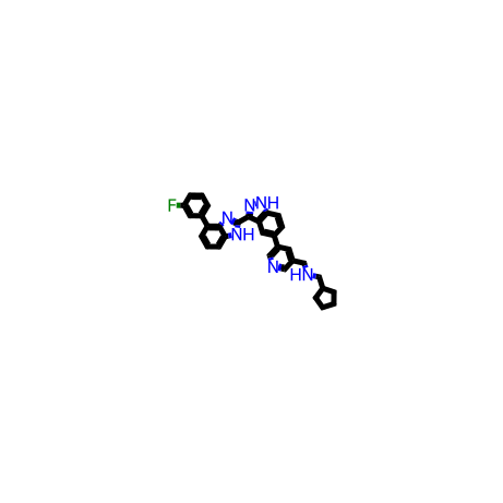 Fc1cccc(-c2cccc3[nH]c(-c4n[nH]c5ccc(-c6cncc(CNCC7CCCC7)c6)cc45)nc23)c1